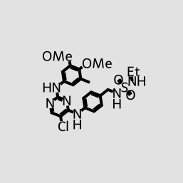 CCNS(=O)(=O)NCc1ccc(Nc2nc(Nc3cc(C)c(OC)c(OC)c3)ncc2Cl)cc1